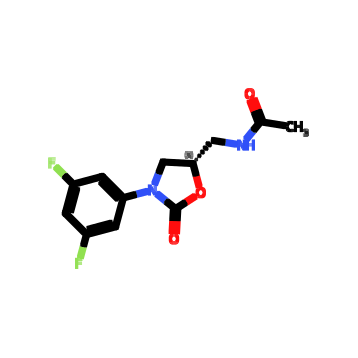 CC(=O)NC[C@H]1CN(c2cc(F)cc(F)c2)C(=O)O1